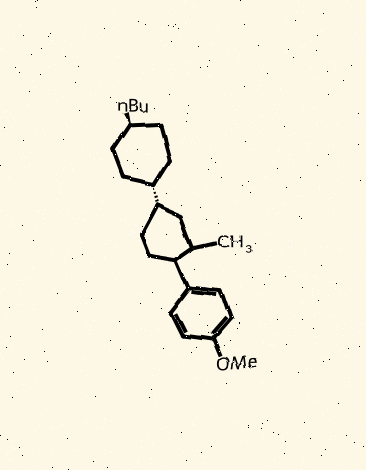 CCCC[C@H]1CC[C@H](C2CCC(c3ccc(OC)cc3)C(C)C2)CC1